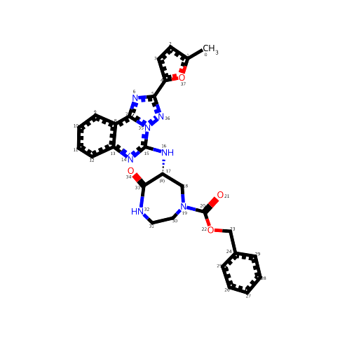 Cc1ccc(-c2nc3c4ccccc4nc(N[C@@H]4CN(C(=O)OCc5ccccc5)CCNC4=O)n3n2)o1